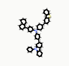 c1ccc(-n2c3ccccc3c3ccc(-c4ccc(N(c5ccc(-c6ccc7sc8ccccc8c7c6)cc5)c5ccc(-c6cccc7ccccc67)cc5)cc4)cc32)cc1